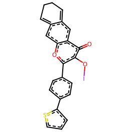 O=c1c(OI)c(-c2ccc(-c3cccs3)cc2)oc2cc3c(cc12)=CCCC=3